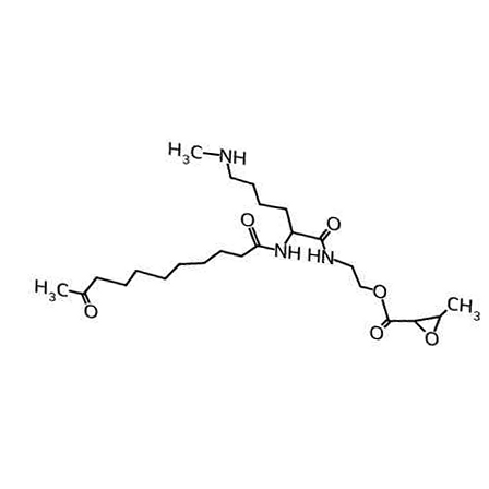 CNCCCCC(NC(=O)CCCCCCCCC(C)=O)C(=O)NCCOC(=O)C1OC1C